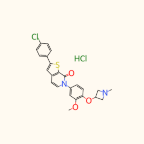 COc1cc(-n2ccc3cc(-c4ccc(Cl)cc4)sc3c2=O)ccc1OC1CN(C)C1.Cl